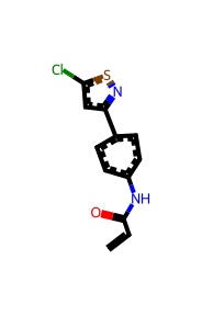 C=CC(=O)Nc1ccc(-c2cc(Cl)sn2)cc1